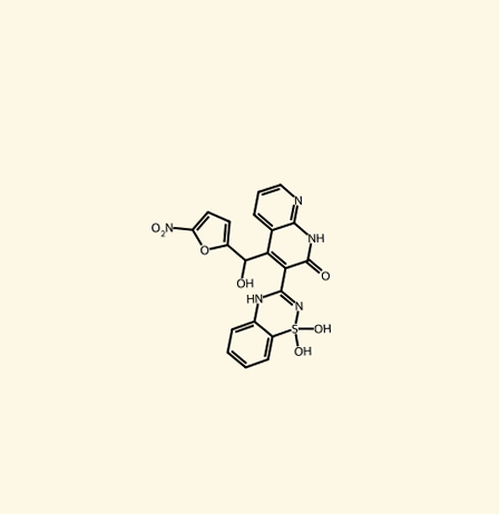 O=c1[nH]c2ncccc2c(C(O)c2ccc([N+](=O)[O-])o2)c1C1=NS(O)(O)c2ccccc2N1